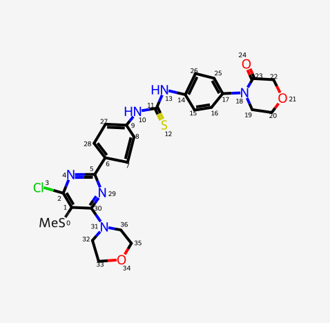 CSc1c(Cl)nc(-c2ccc(NC(=S)Nc3ccc(N4CCOCC4=O)cc3)cc2)nc1N1CCOCC1